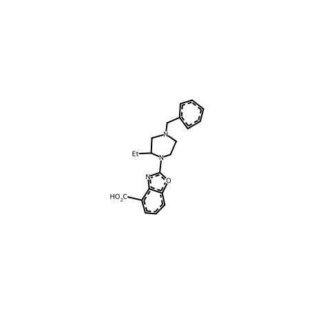 CCC1CN(Cc2ccccc2)CCN1c1nc2c(C(=O)O)cccc2o1